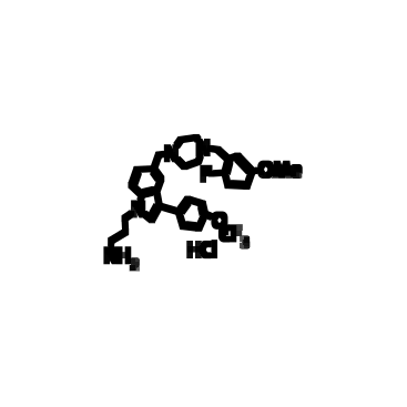 COc1ccc(F)c(CN2CCN(Cc3ccc4c(c3)c(-c3ccc(OC(F)(F)F)cc3)cn4CCCN)CC2)c1.Cl